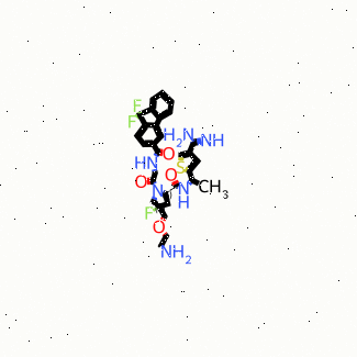 CC(NC(=O)[C@@H]1C[C@](F)(COCCN)CN1C(=O)CNC(=O)c1ccc2c(c1)-c1ccccc1C2(F)F)c1cc(C(=N)N)cs1